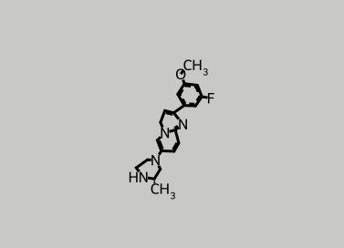 COc1cc(F)cc(C2=CCN3C=C(N4CCN[C@@H](C)C4)C=CC3=N2)c1